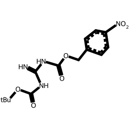 CC(C)(C)OC(=O)NC(=N)NC(=O)OCc1ccc([N+](=O)[O-])cc1